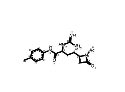 CC(=O)N1C(=O)CC1CCC(NC(=N)N)C(=O)Nc1ccc(C)cc1